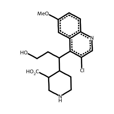 COc1ccc2ncc(Cl)c(C(CCO)C3CCNCC3C(=O)O)c2c1